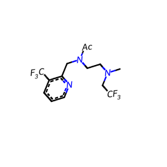 CC(=O)N(CCN(C)CC(F)(F)F)Cc1ncccc1C(F)(F)F